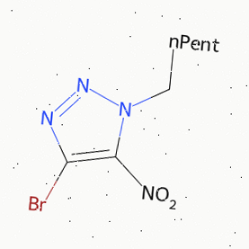 CCCCCCn1nnc(Br)c1[N+](=O)[O-]